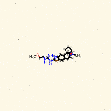 COCCNC(=N)Nc1nc2cc3c(cc2s1)C[C@@H]1[C@@H]2CCCC[C@]32CCN1C